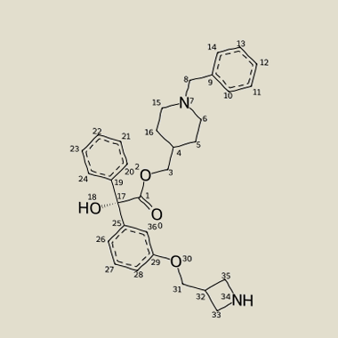 O=C(OCC1CCN(Cc2ccccc2)CC1)[C@](O)(c1ccccc1)c1cccc(OCC2CNC2)c1